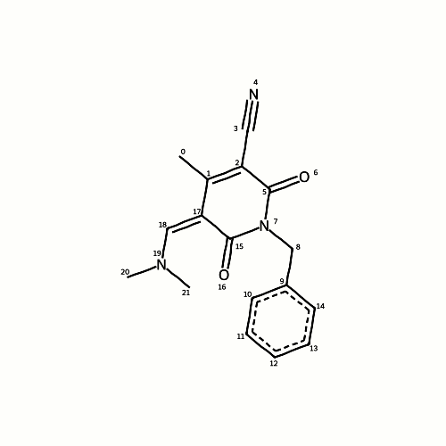 CC1=C(C#N)C(=O)N(Cc2ccccc2)C(=O)C1=CN(C)C